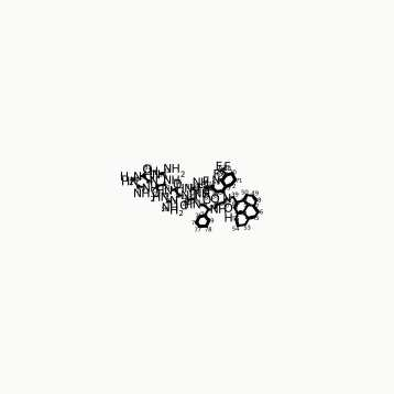 N=C(N)NC(NC(=O)C(NC(=N)N)NC(=O)C(NC(=N)N)NC(=O)C(NC(=N)N)NC(=O)C(NC(=O)C(O)N(CC1=CC2=C3C(=CC=C4C=CC=C1C43)CC=C2)c1cc(C(F)(F)F)nc2c(C(F)(F)F)cccc12)c1ccccc1)C(N)=O